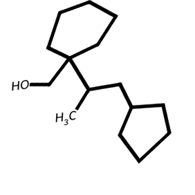 C[C](CC1CCCC1)C1(CO)CCCCC1